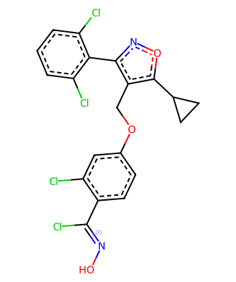 O/N=C(\Cl)c1ccc(OCc2c(-c3c(Cl)cccc3Cl)noc2C2CC2)cc1Cl